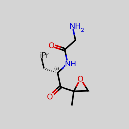 CC(C)C[C@H](NC(=O)CN)C(=O)C1(C)CO1